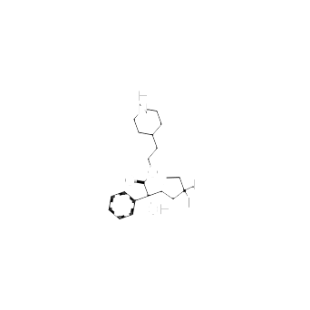 O=C(OCCC1CCNCC1)[C@](O)(c1ccccc1)[C@@H]1CCC(F)(F)C1